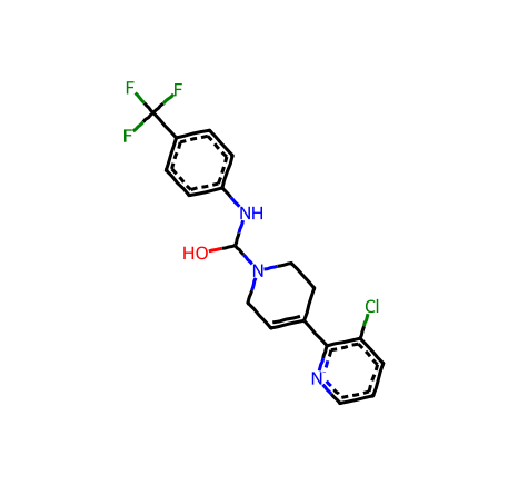 OC(Nc1ccc(C(F)(F)F)cc1)N1CC=C(c2ncccc2Cl)CC1